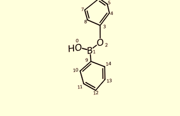 OB(Oc1ccccc1)c1ccccc1